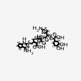 Nc1nc(/C(=N/OC(C(=O)O)c2ccc(O)c(O)c2)C(=O)NC2C(=O)N3C(C(=O)O)=C(CSc4nc(N)c5cccc-5[nH]4)CS[C@@H]23)cs1